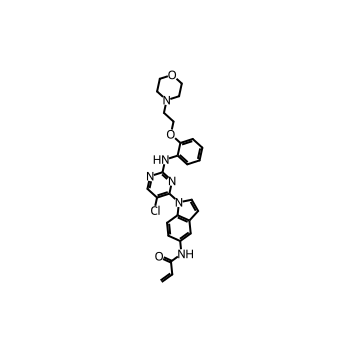 C=CC(=O)Nc1ccc2c(ccn2-c2nc(Nc3ccccc3OCCN3CCOCC3)ncc2Cl)c1